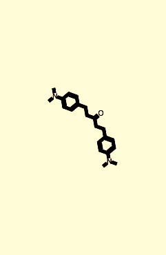 CN(C)c1ccc(CCC(=O)CCc2ccc(N(C)C)cc2)cc1